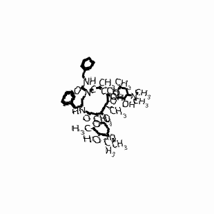 CO[C@]1(C)C[C@H](OC2[C@@H](C)C(=O)NC(Cc3ccccc3)CN(C(=O)NCc3ccccc3)C[C@H](C)C[C@@](C)(O)[C@H](OC3OC(C)CC(N(C)C)[C@H]3O)[C@H]2C)O[C@@H](C)[C@@H]1O